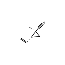 C=C[C@H]1C[C@]1(C)C#N